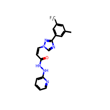 Cc1cc(-c2ncn(/C=C\C(=O)NNc3ccccn3)n2)cc(C(F)(F)F)c1